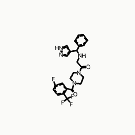 O=C(CNC(c1ccccc1)c1cn[nH]c1)N1CCN(C(=O)c2cc(F)ccc2C(F)(F)F)CC1